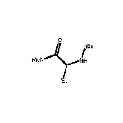 CCCCNC(CC)C(=O)NC